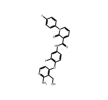 Nc1nccc(Oc2ccc(NC(=O)c3cccn(-c4ccc(F)cc4)c3=O)cc2F)c1CO